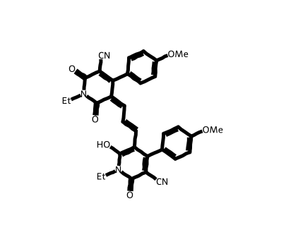 CCN1C(=O)C(=CC=Cc2c(-c3ccc(OC)cc3)c(C#N)c(=O)n(CC)c2O)C(c2ccc(OC)cc2)=C(C#N)C1=O